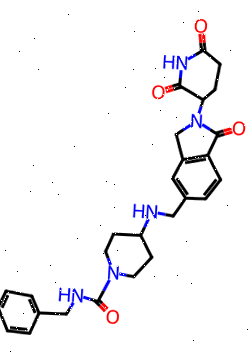 O=C1CCC(N2Cc3cc(CNC4CCN(C(=O)NCc5ccccc5)CC4)ccc3C2=O)C(=O)N1